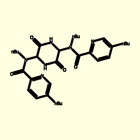 CCCCc1ccc(C(=O)N(CCCC)C2NC(=O)C(N(CCCC)C(=O)c3ccc(CCCC)cn3)NC2=O)nc1